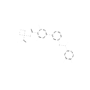 Cc1cc(C(C)Nc2cccc(-c3cc(C)c(C(=O)NC4(C(=O)O)CNC4)c(C)c3)c2)ccc1Cl